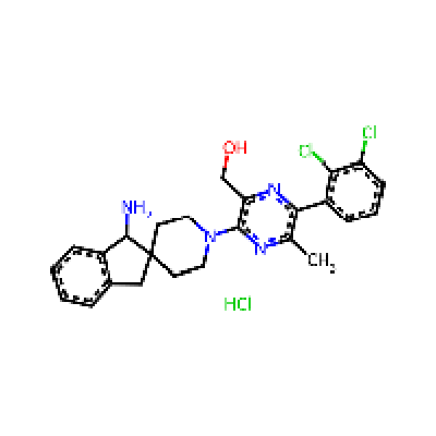 Cc1nc(N2CCC3(CC2)Cc2ccccc2C3N)c(CO)nc1-c1cccc(Cl)c1Cl.Cl